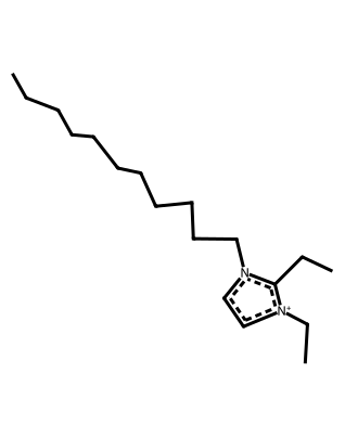 CCCCCCCCCCCn1cc[n+](CC)c1CC